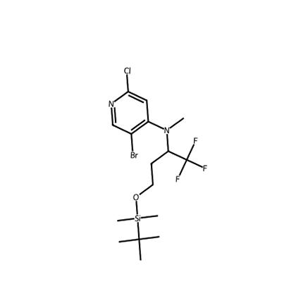 CN(c1cc(Cl)ncc1Br)C(CCO[Si](C)(C)C(C)(C)C)C(F)(F)F